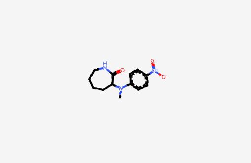 CN(c1ccc([N+](=O)[O-])cc1)C1CCCCNC1=O